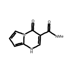 CNC(=O)c1c[nH]c2cccn2c1=O